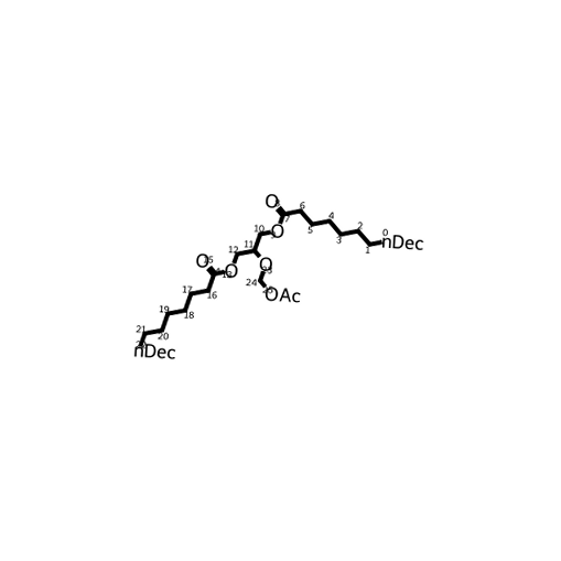 CCCCCCCCCCCCCCCCC(=O)OCC(COC(=O)CCCCCCCCCCCCCCCC)OCOC(C)=O